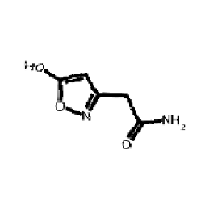 NC(=O)Cc1cc(O)on1